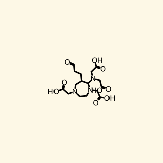 O=CCCC1CN(CC(=O)O)CCN(CC(=O)O)C1N(CC(=O)O)CC(=O)O